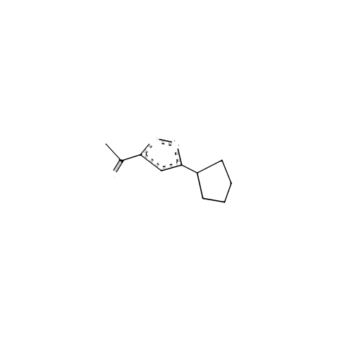 CC(=O)c1cc(C2CCCC2)no1